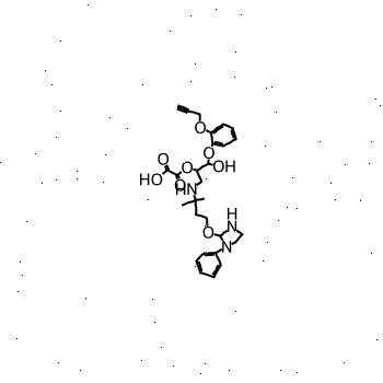 C#CCOc1ccccc1OC(O)C(CNC(C)(C)CCOC1NCCN1c1ccccc1)OC(=O)C(=O)O